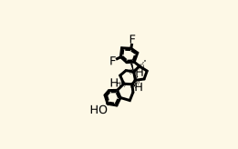 C[C@]12CC[C@@H]3c4ccc(O)cc4CC[C@H]3[C@@H]1CC[C@]2(C)c1cc(F)cc(F)c1